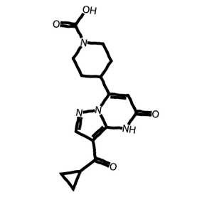 O=C(c1cnn2c(C3CCN(C(=O)O)CC3)cc(=O)[nH]c12)C1CC1